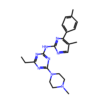 CCc1nc(Nc2ncc(C)c(-c3ccc(C)cc3)n2)nc(N2CCN(C)CC2)n1